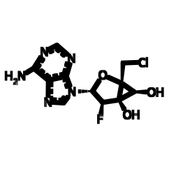 Nc1ncnc2c1ncn2[C@@H]1O[C@]2(CCl)[C@@H](O)[C@]2(O)[C@H]1F